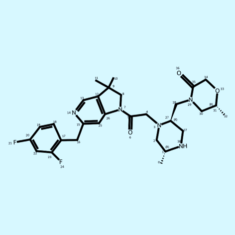 C[C@@H]1CN(CC(=O)N2CC(C)(C)c3cnc(Cc4ccc(F)cc4F)cc32)[C@@H](CN2C[C@@H](C)OCC2=O)CN1